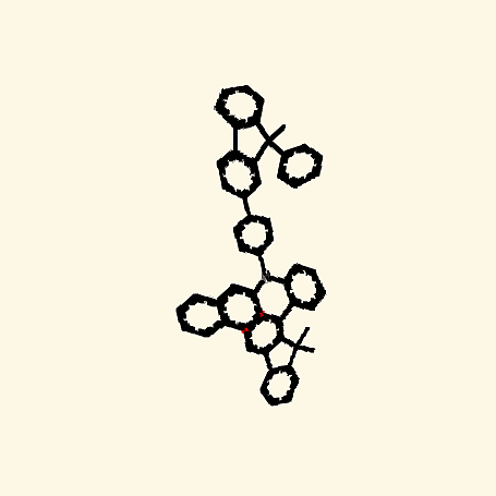 CC1(C)c2ccccc2-c2cccc(-c3ccccc3N(c3ccc(-c4ccc5c(c4)C(C)(c4ccccc4)c4ccccc4-5)cc3)c3ccc4ccccc4c3)c21